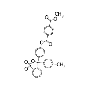 COC(=O)c1ccc(C(=O)Oc2ccc(C3(c4ccc(C)cc4)OS(=O)(=O)c4ccccc43)cc2)cc1